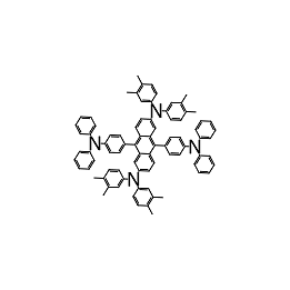 Cc1ccc(N(c2ccc(C)c(C)c2)c2ccc3c(-c4ccc(N(c5ccccc5)c5ccccc5)cc4)c4cc(N(c5ccc(C)c(C)c5)c5ccc(C)c(C)c5)ccc4c(-c4ccc(N(c5ccccc5)c5ccccc5)cc4)c3c2)cc1C